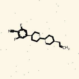 C=CC[C@H]1CC[C@H]([C@H]2CC[C@H](c3cc(F)c(C#N)c(F)c3)CC2)CC1